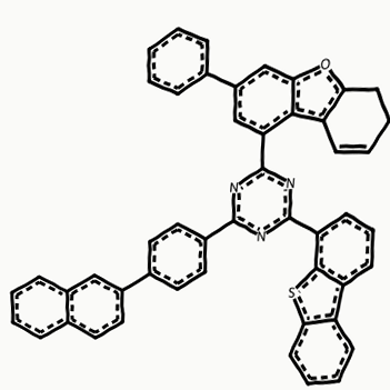 C1=Cc2c(oc3cc(-c4ccccc4)cc(-c4nc(-c5ccc(-c6ccc7ccccc7c6)cc5)nc(-c5cccc6c5sc5ccccc56)n4)c23)CC1